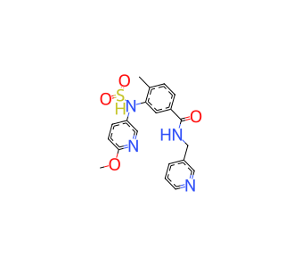 COc1ccc(N(c2cc(C(=O)NCc3cccnc3)ccc2C)[SH](=O)=O)cn1